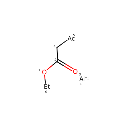 CCOC(=O)CC(C)=O.[Al+]